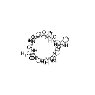 CC[C@H](C)[C@@H]1NC(=O)[C@@H]2CCCN2C(=O)[C@H]([C@@H](C)O)NC(=O)[C@H](CC(C)C)NC(=O)[C@@H]2CCCN2C(=O)[C@H](C(C)C)NC(=O)[C@H](Cc2c[nH]c3ccccc23)NC(=O)[C@@H]2CCCN2C1=O